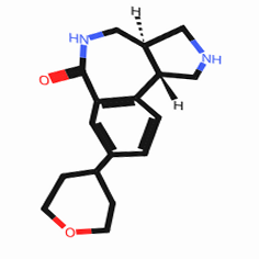 O=C1NC[C@H]2CNC[C@@H]2c2ccc(C3CCOCC3)cc21